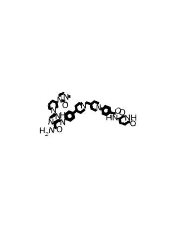 CN1CCN([C@@H]2CCCN(c3cnc(C(N)=O)c(Nc4ccc(C5CCN(CC6CCN(c7ccc(C(=O)N[C@@H]8CCC(=O)NC8=O)cc7)CC6)CC5)cc4)n3)C2)C1=O